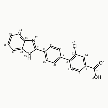 O=C(O)c1cnc(-c2ccc(-c3nc4ncccc4[nH]3)cc2)c(Cl)c1